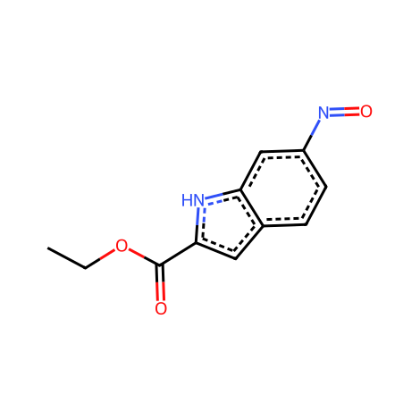 CCOC(=O)c1cc2ccc(N=O)cc2[nH]1